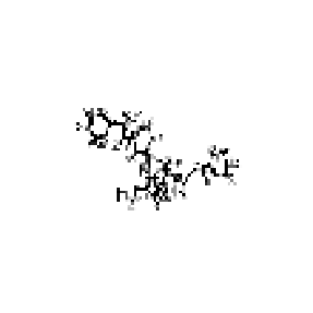 Bc1cnn2c(NCc3cccnc3)cc(C3CCCN(CC(N)c4ccccc4)C3)nc12